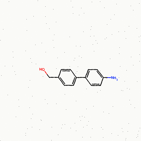 Nc1ccc(-c2ccc(CO)cc2)cc1